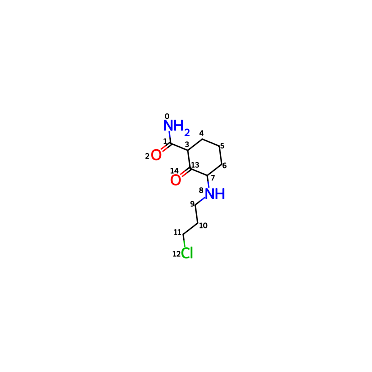 NC(=O)C1CCCC(NCCCCl)C1=O